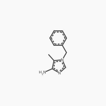 Cc1c(N)ncn1Cc1ccccc1